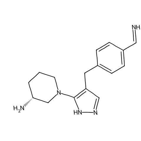 N=Cc1ccc(Cc2cn[nH]c2N2CCC[C@@H](N)C2)cc1